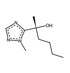 CCCC[C@@](C)(O)c1ncnn1C